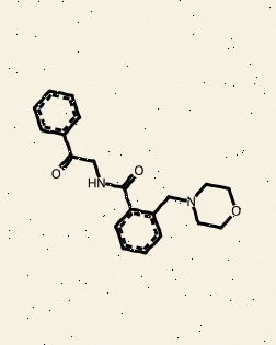 O=C(CNC(=O)c1ccccc1CN1CCOCC1)c1ccccc1